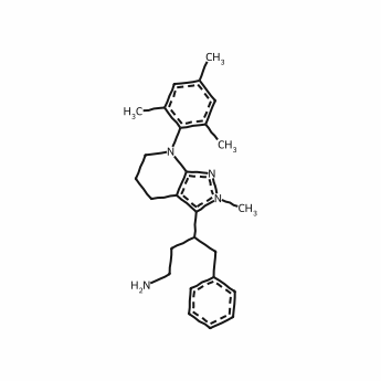 Cc1cc(C)c(N2CCCc3c2nn(C)c3C(CCN)Cc2ccccc2)c(C)c1